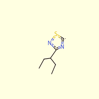 CCC(CC)c1n[c]sn1